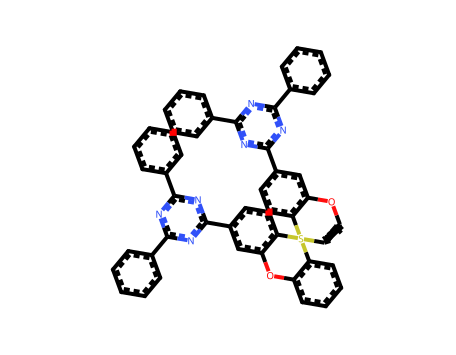 c1ccc(-c2nc(-c3ccccc3)nc(-c3ccc4c(c3)Oc3ccccc3S43c4ccccc4Oc4cc(-c5nc(-c6ccccc6)nc(-c6ccccc6)n5)ccc43)n2)cc1